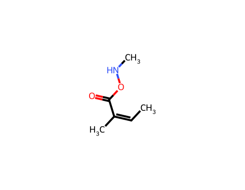 CC=C(C)C(=O)ONC